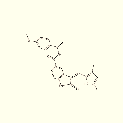 COc1ccc([C@@H](C)NC(=O)c2ccc3c(c2)/C(=C/c2[nH]c(C)cc2C)C(=O)N3)cc1